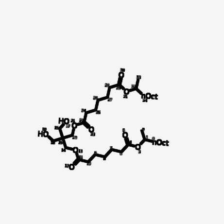 CCCCCCCCC(C)OC(=O)CCCCCC(=O)OCC(CO)(CO)COC(=O)CCCCCC(=O)OC(C)CCCCCCCC